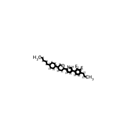 CCCCCC1CCC(C2CCC(c3ccc(-c4ccc(CCC)c(F)c4F)cn3)OC2)CC1